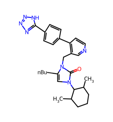 CCCCc1cn(C2C(C)CCCC2C)c(=O)n1Cc1cnccc1-c1ccc(-c2nnn[nH]2)cc1